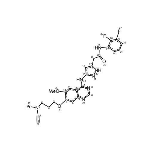 C#CN(CCCOc1cc2ncnc(Nc3cc(CC(=O)Nc4cccc(F)c4F)[nH]n3)c2cc1OC)C(C)C